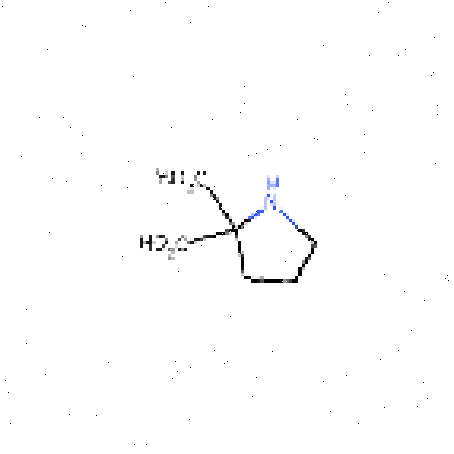 O=C(O)C1(C(=O)O)CCCN1